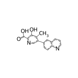 Cc1c(-c2ccc3ncccc3c2)cnc(C(=O)O)c1O